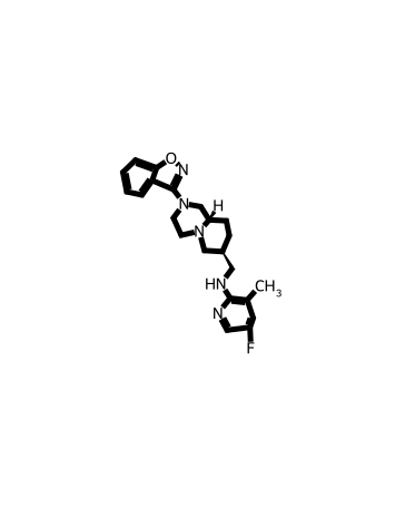 Cc1cc(F)cnc1NC[C@@H]1CC[C@H]2CN(c3noc4ccccc34)CCN2C1